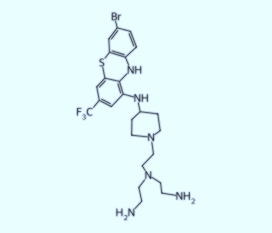 NCCN(CCN)CCN1CCC(Nc2cc(C(F)(F)F)cc3c2Nc2ccc(Br)cc2S3)CC1